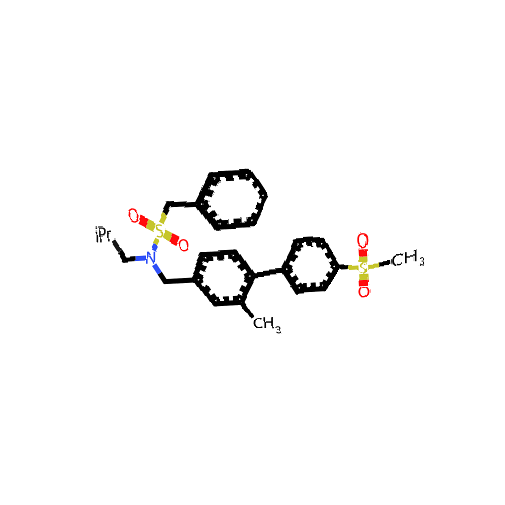 Cc1cc(CN(CC(C)C)S(=O)(=O)Cc2ccccc2)ccc1-c1ccc(S(C)(=O)=O)cc1